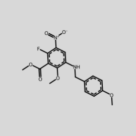 COC(=O)c1c(F)c([N+](=O)[O-])cc(NCc2ccc(OC)cc2)c1OC